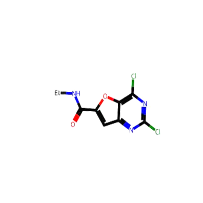 CCNC(=O)c1cc2nc(Cl)nc(Cl)c2o1